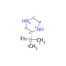 CCC(C)(C)[C@@H]1CNCCN1